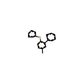 Cc1ccc(Sc2ccccc2)c(-c2ccccc2)c1